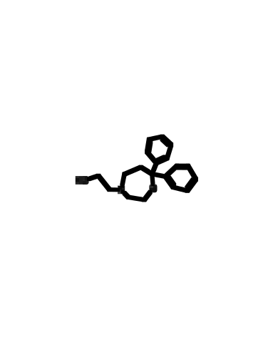 OCCN1CCOC(c2ccccc2)(c2ccccc2)CC1